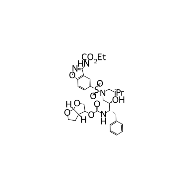 CCOC(=O)Nc1noc2ccc(S(=O)(=O)N(CC(C)C)C[C@@H](O)[C@H](Cc3ccccc3)NC(=O)OC3CO[C@H]4OCC[C@@H]34)cc12